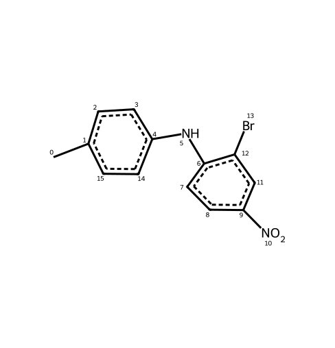 Cc1ccc(Nc2ccc([N+](=O)[O-])cc2Br)cc1